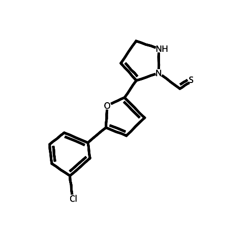 S=CN1NCC=C1c1ccc(-c2cccc(Cl)c2)o1